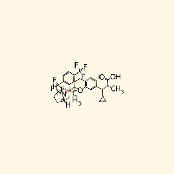 CC(C(=O)O)C(c1ccc2c(c1)OC(C1C[C@H]3CC[C@@H](C1)N3C(C)c1cc(C(F)(F)F)ccc1C(F)(F)F)CC2)C1CC1